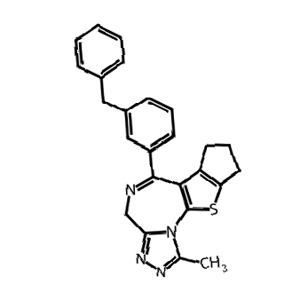 Cc1nnc2n1-c1sc3c(c1C(c1cccc(Cc4ccccc4)c1)=NC2)CCC3